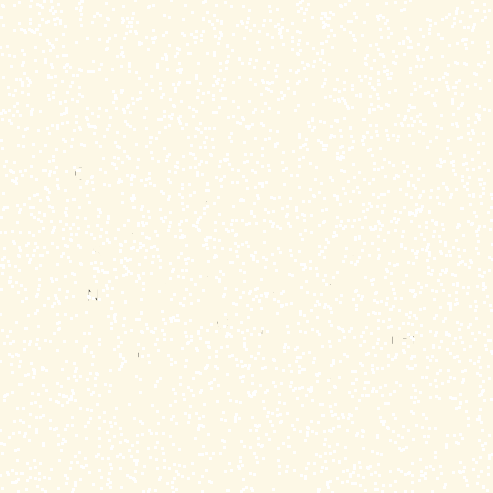 CCCc1ccc(OCc2c(Cl)nsc2-c2ccccc2Cl)c(C)c1C